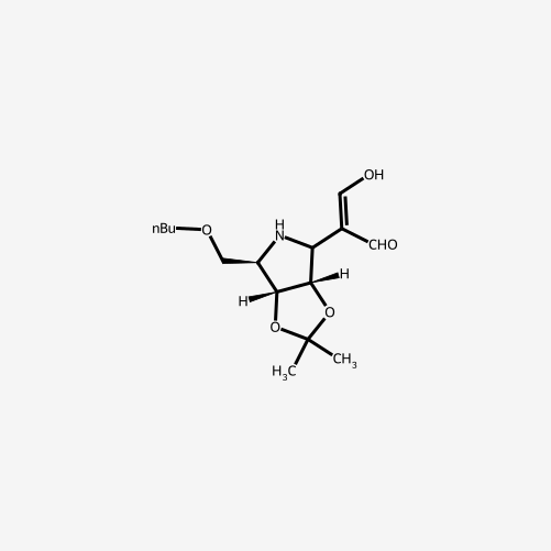 CCCCOC[C@H]1NC(/C(C=O)=C/O)[C@@H]2OC(C)(C)O[C@H]12